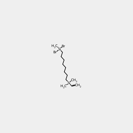 C=C[Si](C)(C)CCCCCCCC[Si](C)(Br)Br